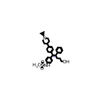 CS(=O)(=O)Nc1ccc(/C(C2=CC=C(C3CCN(C4CC4)CC3)CC2)=C(\CCCO)c2ccccc2)cc1